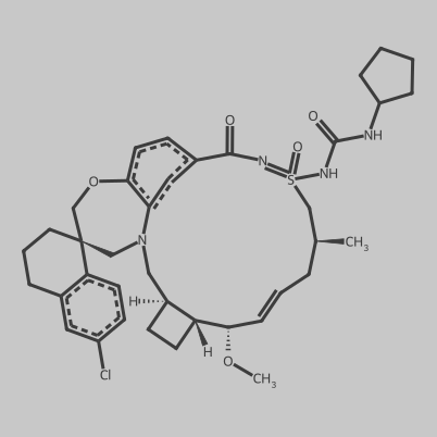 CO[C@H]1/C=C/C[C@H](C)CS(=O)(NC(=O)NC2CCCC2)=NC(=O)c2ccc3c(c2)N(C[C@@H]2CC[C@H]21)C[C@@]1(CCCc2cc(Cl)ccc21)CO3